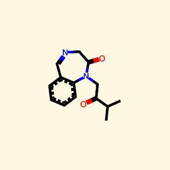 CC(C)C(=O)CN1C(=O)CN=Cc2ccccc21